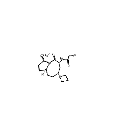 CC(C)(C)OC(=O)N[C@H]1C[C@H](N2CCC2)CC[C@H]2CC[C@@H](C(=O)O)N2C1=O